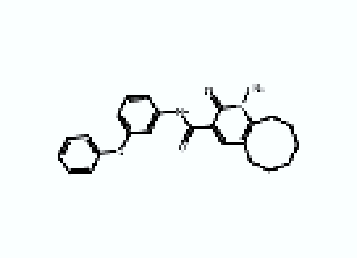 CCCCn1c2c(cc(C(=O)Nc3cccc(Oc4ccccc4)c3)c1=O)CCCCCC2